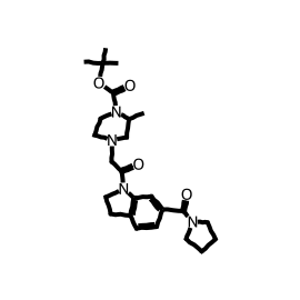 CC1CN(CC(=O)N2CCc3ccc(C(=O)N4CCCC4)cc32)CCN1C(=O)OC(C)(C)C